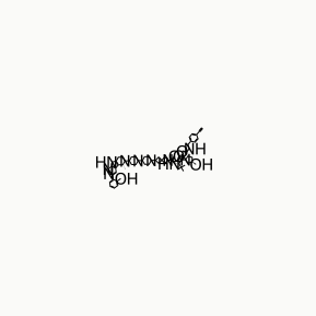 C#Cc1ccc(CNC(=O)[C@@H]2C[C@@H](O)CN2C(=O)[C@@H](NC(=O)N2CC3(CC(N4CCC(N5CCC(N6CCc7[nH]c8nnc(-c9ccccc9O)cc8c7[C@H]6C)CC5)CC4)C3)C2)C(C)(C)C)cc1